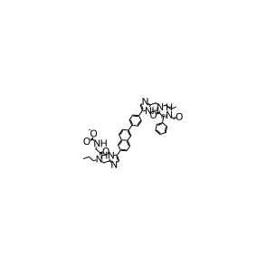 CCCN(Cc1ncc(-c2ccc3cc(-c4ccc(-c5cnc(CN(CCC)C(=O)[C@H](NC=O)c6ccccc6)[nH]5)cc4)ccc3c2)[nH]1)C(=O)CNC(=O)OC